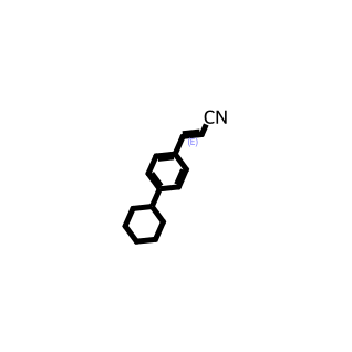 N#C/C=C/c1ccc(C2CCCCC2)cc1